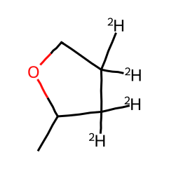 [2H]C1([2H])COC(C)C1([2H])[2H]